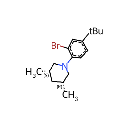 C[C@@H]1C[C@H](C)CN(c2ccc(C(C)(C)C)cc2Br)C1